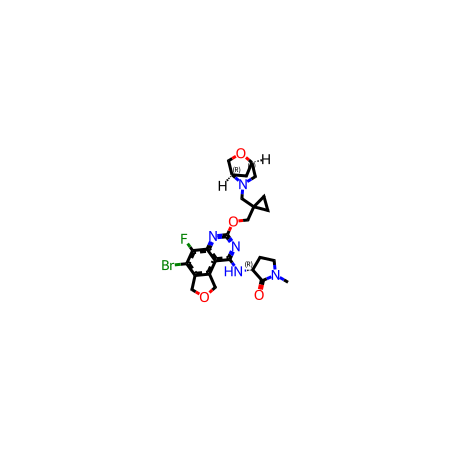 CN1CC[C@@H](Nc2nc(OCC3(CN4C[C@H]5C[C@@H]4CO5)CC3)nc3c(F)c(Br)c4c(c23)COC4)C1=O